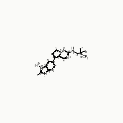 Cc1nc2ncc(-c3ccn4nc(NCC(C)(C)C(F)(F)F)ncc34)cc2n1C(C)C